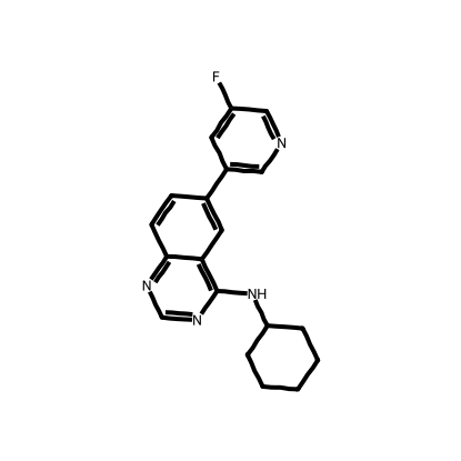 Fc1cncc(-c2ccc3ncnc(NC4CCCCC4)c3c2)c1